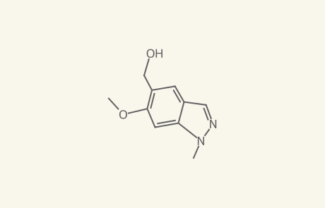 COc1cc2c(cnn2C)cc1CO